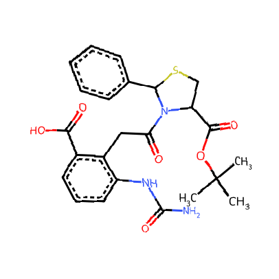 CC(C)(C)OC(=O)C1CSC(c2ccccc2)N1C(=O)Cc1c(NC(N)=O)cccc1C(=O)O